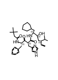 C=C[C@@H](C[C@H](O)[C@H](CC1CCCCC1)NC(=O)[C@@H](Cc1c[nH]cn1)C(=O)[C@H](Cc1ccccc1)NC(=O)CC(C)(C)C)C(C)C